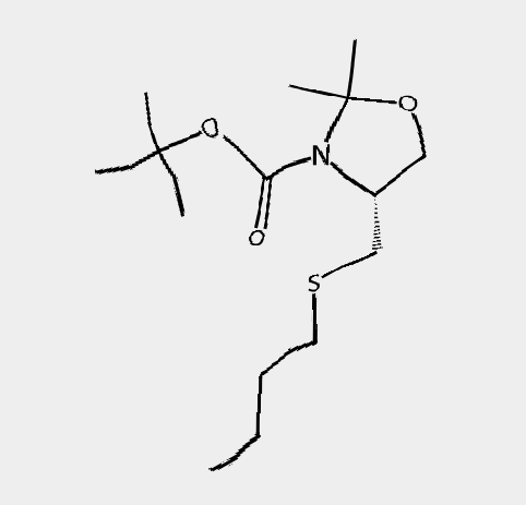 CCCCSC[C@H]1COC(C)(C)N1C(=O)OC(C)(C)C